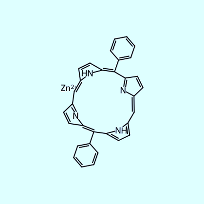 C1=Cc2nc1cc1ccc([nH]1)c(-c1ccccc1)c1nc(cc3ccc([nH]3)c2-c2ccccc2)C=C1.[Zn+2]